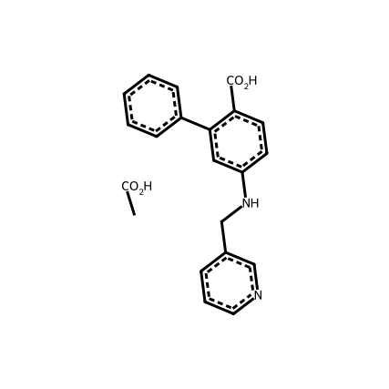 CC(=O)O.O=C(O)c1ccc(NCc2cccnc2)cc1-c1ccccc1